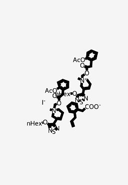 C=CCc1ccccc1CC(=O)[O-].CCCCCCOc1nsnc1C1=CCC[N+](C)(COC(=O)Cc2ccccc2OC(C)=O)C1.CCCCCCOc1nsnc1C1=CCC[N+](C)(COC(=O)Cc2ccccc2OC(C)=O)C1.[I-]